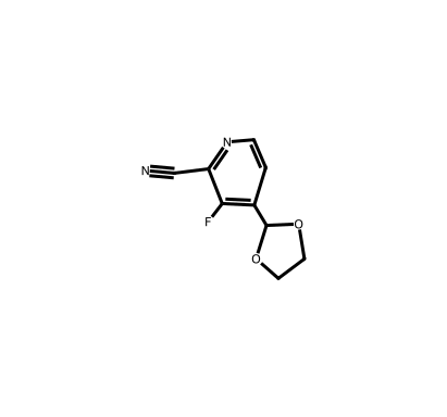 N#Cc1nccc(C2OCCO2)c1F